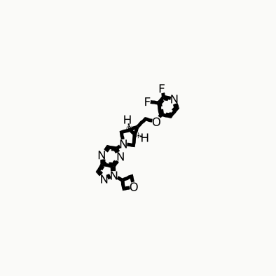 Fc1nccc(OCC2[C@H]3CN(c4cnc5cnn(C6COC6)c5n4)C[C@@H]23)c1F